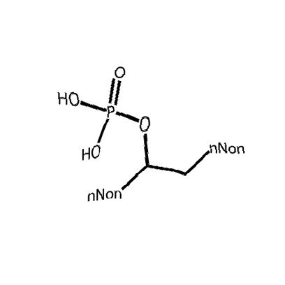 CCCCCCCCCCC(CCCCCCCCC)OP(=O)(O)O